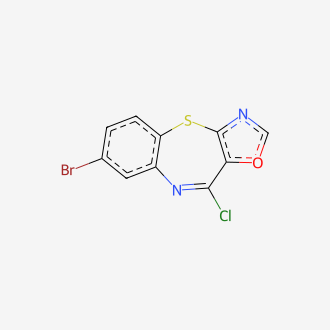 ClC1=Nc2cc(Br)ccc2Sc2ncoc21